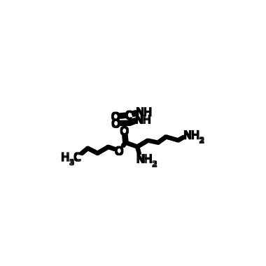 CCCCOC(=O)C(N)CCCCN.N=C=O.N=C=O